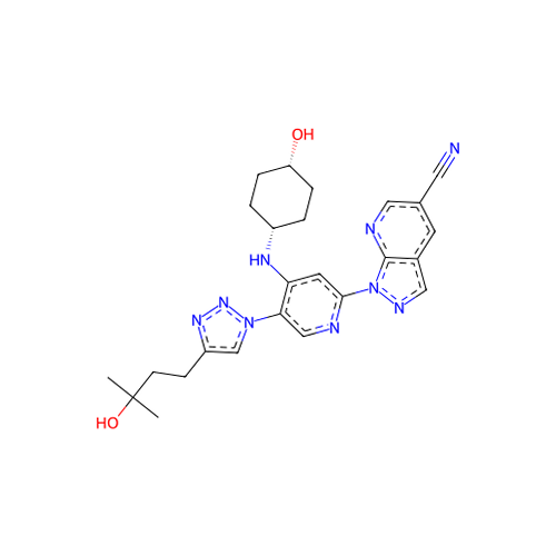 CC(C)(O)CCc1cn(-c2cnc(-n3ncc4cc(C#N)cnc43)cc2N[C@H]2CC[C@@H](O)CC2)nn1